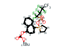 CC(C)(C)OC(=O)Oc1ccc(S2(OS(=O)(=O)C(F)(F)C(F)(F)C(F)(F)C(F)(F)F)CCCC2)c2ccccc12